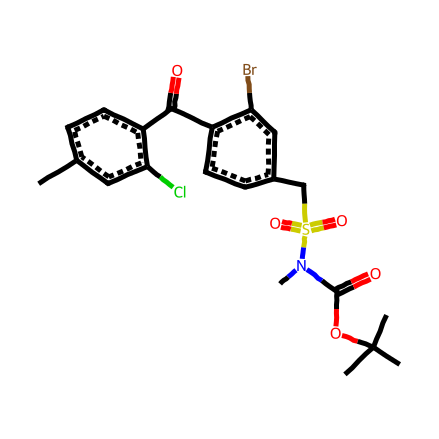 Cc1ccc(C(=O)c2ccc(CS(=O)(=O)N(C)C(=O)OC(C)(C)C)cc2Br)c(Cl)c1